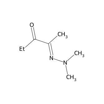 CCC(=O)C(C)=NN(C)C